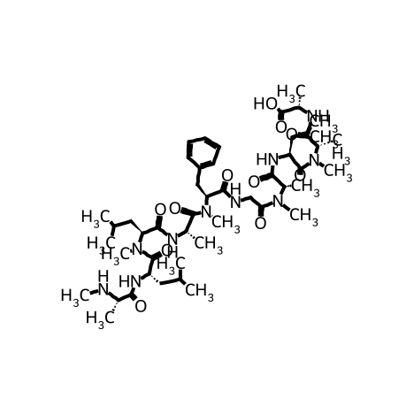 CN[C@@H](C)C(=O)N[C@@H](CC(C)C)C(=O)N(C)[C@@H](CC(C)C)C(=O)N[C@@H](C)C(=O)N(C)[C@@H](Cc1ccccc1)C(=O)NCC(=O)N(C)[C@@H](C)C(=O)N[C@@H](CC(C)C)C(=O)N(C)[C@@H](C)C(=O)N[C@@H](C)C(=O)O